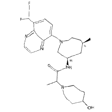 CC(C(=O)N[C@@H]1C[C@H](C)CN(c2ccc(C(F)F)c3nccnc23)C1)N1CCC(O)CC1